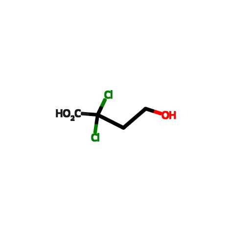 O=C(O)C(Cl)(Cl)CCO